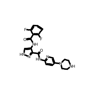 O=C(Nc1ccc(N2CCNCC2)cn1)c1n[nH]cc1NC(=O)c1c(F)cccc1F